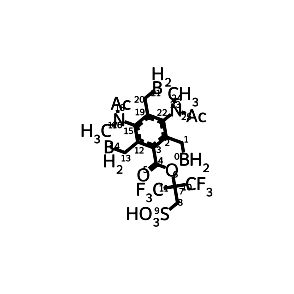 BCc1c(C(=O)OC(CS(=O)(=O)O)(C(F)(F)F)C(F)(F)F)c(CB)c(N(C)C(C)=O)c(CB)c1N(C)C(C)=O